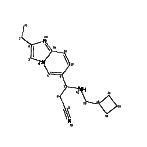 CCc1cn2cc(C(CC#N)NCC3CCC3)ccc2n1